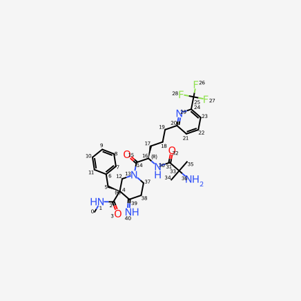 CNC(=O)[C@]1(Cc2ccccc2)CN(C(=O)[C@@H](CCCc2cccc(C(F)(F)F)n2)NC(=O)C(C)(C)N)CCC1=N